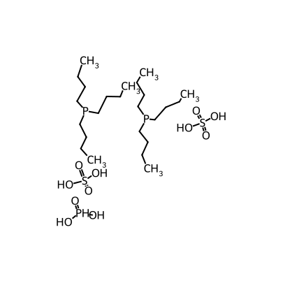 CCCCP(CCCC)CCCC.CCCCP(CCCC)CCCC.O=S(=O)(O)O.O=S(=O)(O)O.O=[PH](O)O